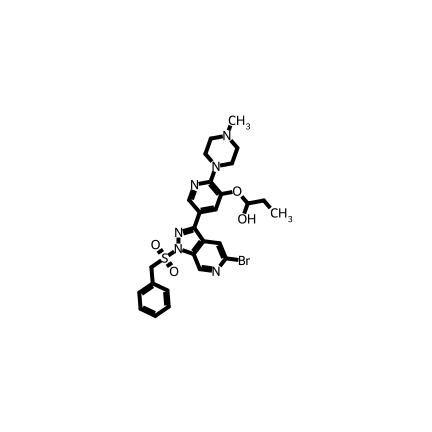 CCC(O)Oc1cc(-c2nn(S(=O)(=O)Cc3ccccc3)c3cnc(Br)cc23)cnc1N1CCN(C)CC1